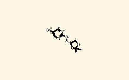 CC1(C)OC[C@@H](COc2ncc(Br)cn2)O1